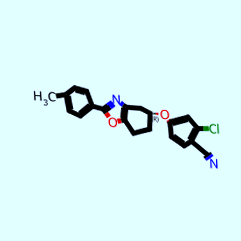 Cc1ccc(-c2nc3c(o2)CC[C@@H](Oc2ccc(C#N)c(Cl)c2)C3)cc1